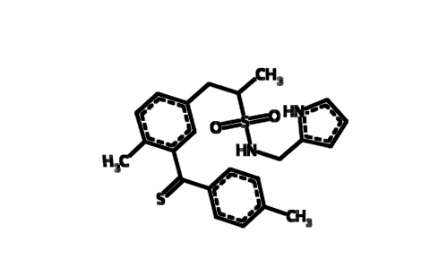 Cc1ccc(C(=S)c2cc(CC(C)S(=O)(=O)NCc3ccc[nH]3)ccc2C)cc1